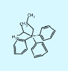 CCCP(c1ccccc1)(c1ccccc1)(c1ccccc1)C(C)C